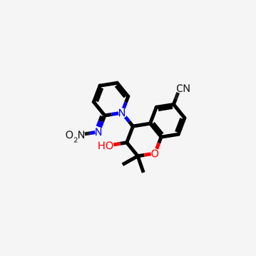 CC1(C)Oc2ccc(C#N)cc2C(n2ccccc2=N[N+](=O)[O-])C1O